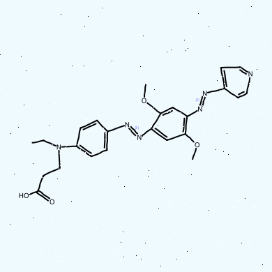 CCN(CCC(=O)O)c1ccc(/N=N/c2cc(OC)c(/N=N/c3ccncc3)cc2OC)cc1